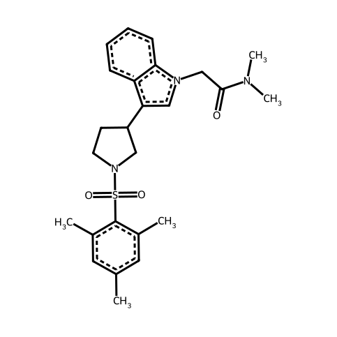 Cc1cc(C)c(S(=O)(=O)N2CCC(c3cn(CC(=O)N(C)C)c4ccccc34)C2)c(C)c1